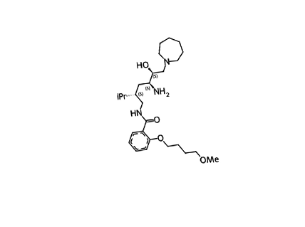 COCCCCOc1ccccc1C(=O)NC[C@@H](C[C@H](N)[C@@H](O)CN1CCCCCC1)C(C)C